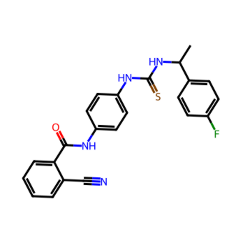 CC(NC(=S)Nc1ccc(NC(=O)c2ccccc2C#N)cc1)c1ccc(F)cc1